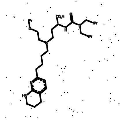 CC(C)CN(CC(C)C)C(=O)N[C@@H](CCN(CCCCc1ccc2c(n1)NCCC2)CCOC(C)C)C(=O)O